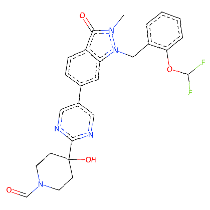 Cn1c(=O)c2ccc(-c3cnc(C4(O)CCN(C=O)CC4)nc3)cc2n1Cc1ccccc1OC(F)F